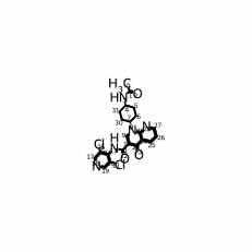 CC(=O)N[C@H]1CC[C@H](n2cc(C(=O)Nc3c(Cl)cncc3Cl)c(=O)c3cccnc32)CC1